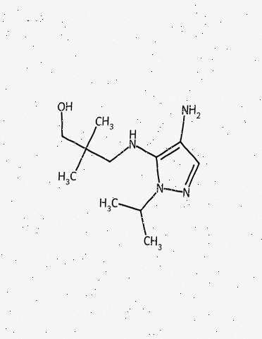 CC(C)n1ncc(N)c1NCC(C)(C)CO